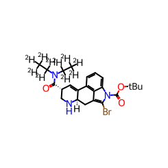 [2H]C([2H])([2H])C([2H])([2H])N(C(=O)[C@@H]1C=C2c3cccc4c3c(c(Br)n4C(=O)OC(C)(C)C)C[C@H]2NC1)C([2H])([2H])C([2H])([2H])[2H]